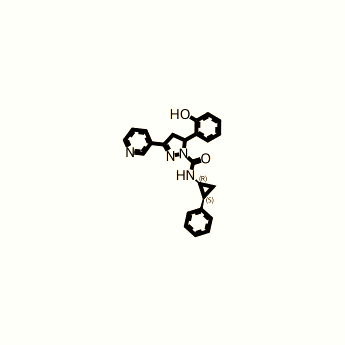 O=C(N[C@@H]1C[C@H]1c1ccccc1)N1N=C(c2cccnc2)CC1c1ccccc1O